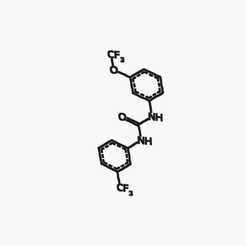 O=C(Nc1cccc(OC(F)(F)F)c1)Nc1cccc(C(F)(F)F)c1